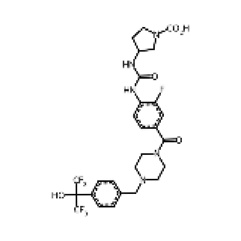 O=C(Nc1ccc(C(=O)N2CCN(Cc3ccc(C(O)(C(F)(F)F)C(F)(F)F)cc3)CC2)cc1F)NC1CCN(C(=O)O)C1